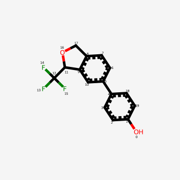 Oc1ccc(-c2ccc3c(c2)C(C(F)(F)F)OC3)cc1